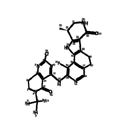 [2H]C([2H])([2H])N1CCc2nc(Cl)nc(Nc3ncc4c(c3F)-c3[nH]c5c(c3CC4)C(=O)NC[C@H]5C)c2C1=O